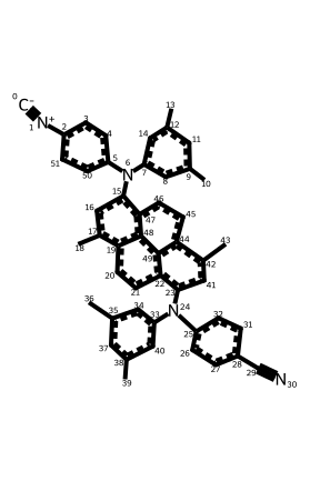 [C-]#[N+]c1ccc(N(c2cc(C)cc(C)c2)c2cc(C)c3ccc4c(N(c5ccc(C#N)cc5)c5cc(C)cc(C)c5)cc(C)c5ccc2c3c54)cc1